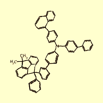 CC1(C)c2cccc3c2-c2c1cccc2C3(c1ccccc1)c1cccc(-c2ccc(N(c3ccc(-c4ccccc4)cc3)c3ccc(-c4cccc5ccccc45)cc3)cc2)c1